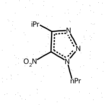 CCCn1nnc(C(C)C)c1[N+](=O)[O-]